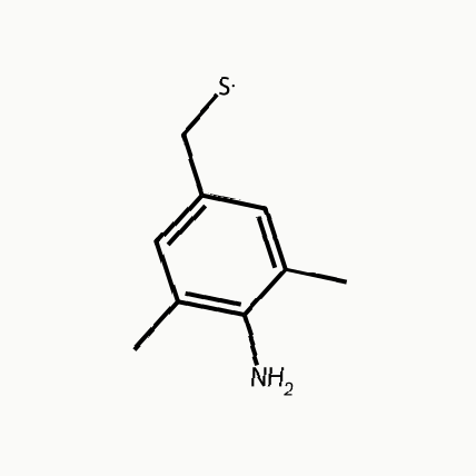 Cc1cc(C[S])cc(C)c1N